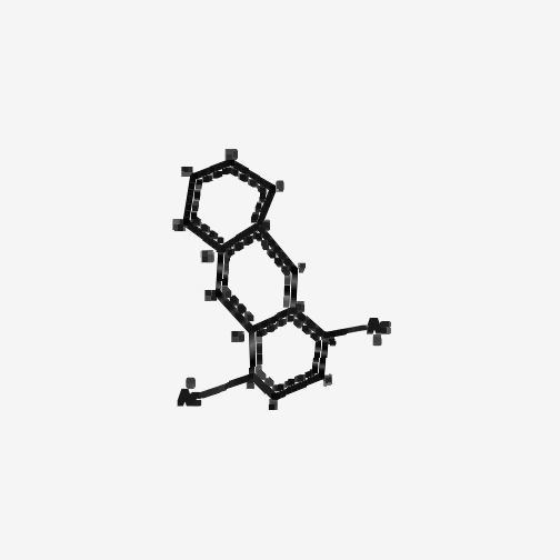 CC(=O)c1ccc(C(C)=O)c2cc3ccccc3cc12